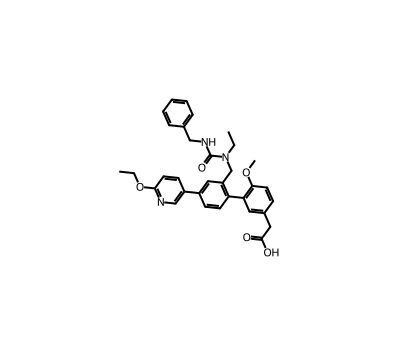 CCOc1ccc(-c2ccc(-c3cc(CC(=O)O)ccc3OC)c(CN(CC)C(=O)NCc3ccccc3)c2)cn1